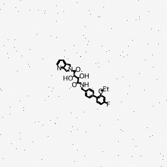 CCOc1cc(F)ccc1-c1ccc(CNC(=O)[C@H](O)[C@@H](O)C(=O)N2Cc3cccnc3C2)cc1